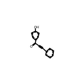 O=C(C#Cc1ccccc1)c1ccc(O)cc1